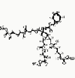 CC(C)(C)OC(=O)NCCCNC(=O)CCOCC(COCCC(=O)NCCCNC(=O)OC(C)(C)C)(COCCC(=O)NCNC(=O)OC(C)(C)C)NC(=O)OCc1ccccc1